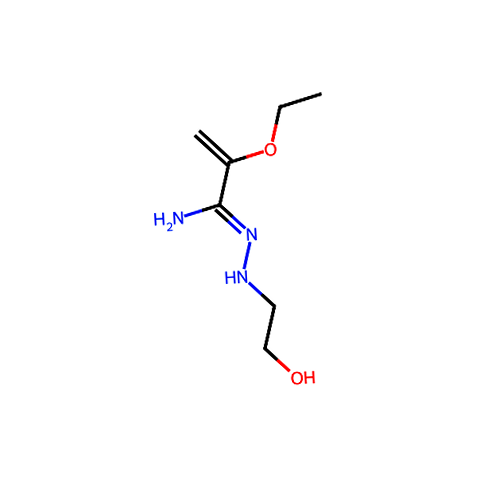 C=C(OCC)/C(N)=N/NCCO